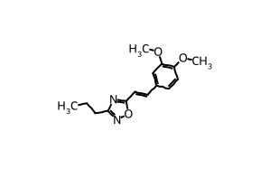 CCCc1noc(C=Cc2ccc(OC)c(OC)c2)n1